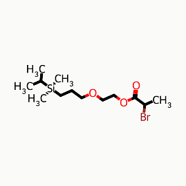 CC(Br)C(=O)OCCOCCC[Si](C)(C)C(C)C